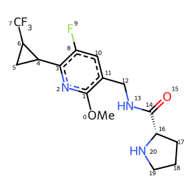 COc1nc(C2CC2C(F)(F)F)c(F)cc1CNC(=O)[C@@H]1CCCN1